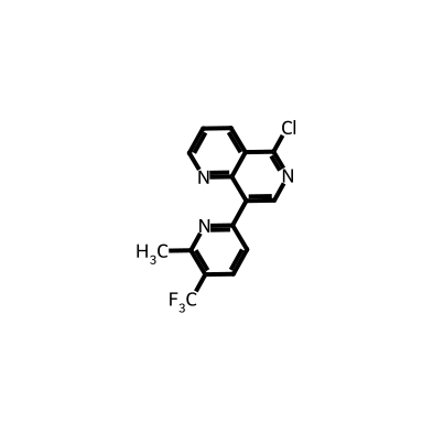 Cc1nc(-c2cnc(Cl)c3cccnc23)ccc1C(F)(F)F